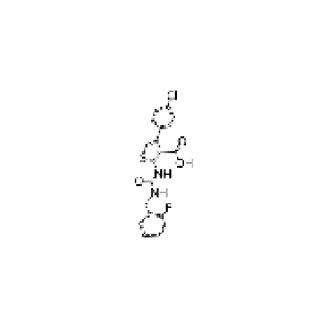 O=C(NCc1ccccc1F)Nc1scc(-c2ccc(Cl)cc2)c1C(=O)O